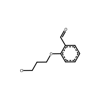 O=Cc1ccccc1OCCCCl